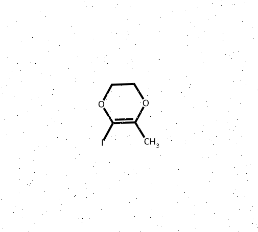 CC1=C(I)OCCO1